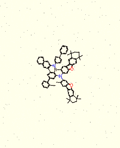 Cc1ccccc1-c1cc2c3c(c1)N(c1cc4oc5cc6c(cc5c4cc1C)C(C)(C)CCC6(C)C)c1cc4oc5cc6c(cc5c4cc1B3N(c1ccc(-c3ccccc3)cc1)c1cc3ccccc3cc1-2)C(C)(C)CCC6(C)C